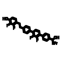 CCCC(O)c1ccc(-c2ccc(-c3ccc(CCc4ccc(O)c(F)c4F)cc3)c(F)c2F)cc1